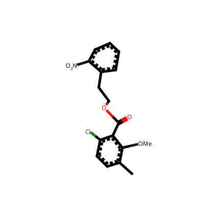 COc1c(C)ccc(Cl)c1C(=O)OCCc1ccccc1[N+](=O)[O-]